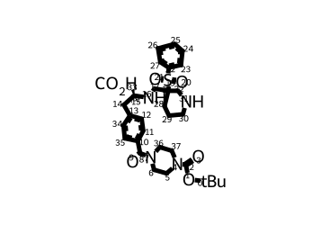 CC(C)(C)OC(=O)N1CCN(C(=O)c2ccc(C[C@H](NCC3(S(=O)(=O)c4ccccc4)CCCNC3)C(=O)O)cc2)CC1